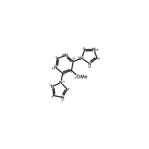 COc1c(-n2cncn2)ncnc1-n1cncn1